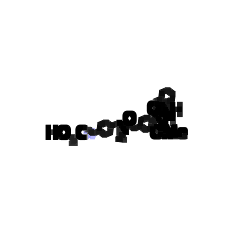 COc1cc(CC(=O)N(Cc2ccc(/C=C/C(=O)O)cc2)C2CC2)ccc1NC(=O)Nc1ccccc1C